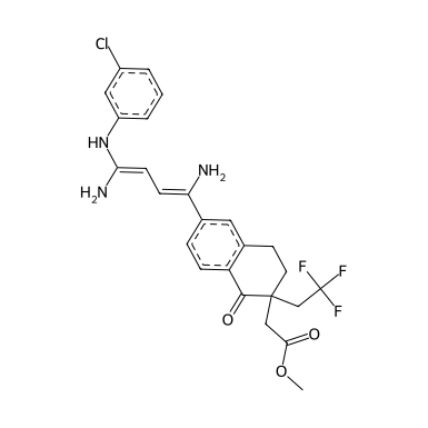 COC(=O)CC1(CC(F)(F)F)CCc2cc(/C(N)=C/C=C(\N)Nc3cccc(Cl)c3)ccc2C1=O